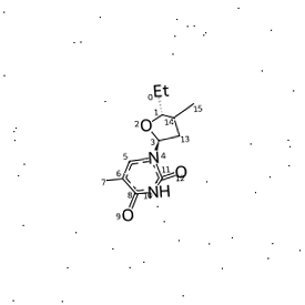 CC[C@H]1O[C@H](n2cc(C)c(=O)[nH]c2=O)CC1C